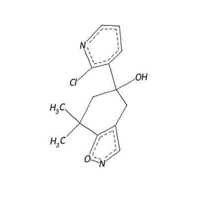 CC1(C)CC(O)(c2cccnc2Cl)Cc2cnoc21